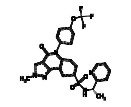 C[C@H](NS(=O)(=O)c1ccc2c(c1)c1nn(C)cc1c(=O)n2-c1ccc(OC(F)(F)F)cc1)c1ccccn1